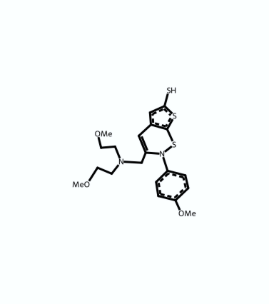 COCCN(CCOC)CC1=Cc2cc(S)sc2SN1c1ccc(OC)cc1